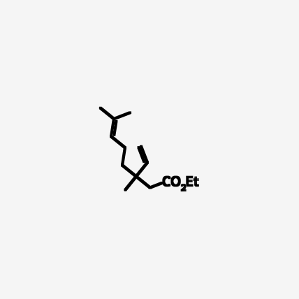 C=CC(C)(CCC=C(C)C)CC(=O)OCC